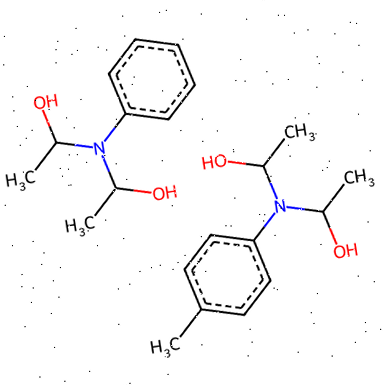 CC(O)N(c1ccccc1)C(C)O.Cc1ccc(N(C(C)O)C(C)O)cc1